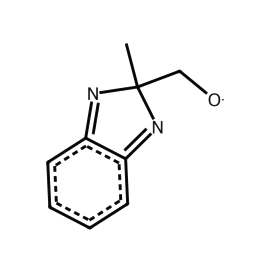 CC1(C[O])N=c2ccccc2=N1